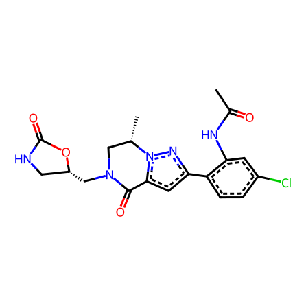 CC(=O)Nc1cc(Cl)ccc1-c1cc2n(n1)[C@@H](C)CN(C[C@@H]1CNC(=O)O1)C2=O